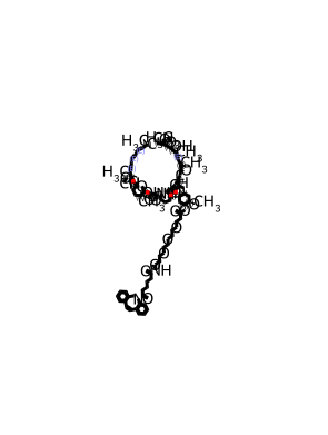 CO[C@H]1C[C@@H]2CC[C@@H](C)[C@@](O)(O2)C(=O)C(=O)N2CCC[C@@H]3C(C[C@@H]4CC[C@@H](OC(=O)CCOCCOCCOCCONC(=O)CCCCC(=O)N5Cc6ccccc6C#Cc6ccccc65)[C@H](OC)C4)[C@H](CC(=O)[C@H](C)/C=C(\C)[C@@H](O)[C@@H](OC)C(=O)[C@H](C)C[C@H](C)/C=C/C=C/C=C/1C)OC(=O)[C@H]32